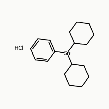 Cl.c1cc[c]([Sn]([CH]2CCCCC2)[CH]2CCCCC2)cc1